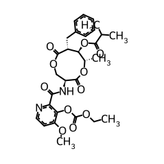 CCOC(=O)Oc1c(OC)ccnc1C(=O)N[C@H]1COC(=O)[C@H](Cc2ccccc2)[C@@H](OC(=O)C(C)C)[C@H](C)OC1=O